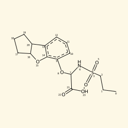 CCCS(=O)(=O)NC(Oc1cccc2c1OC1CCCC21)C(=O)O